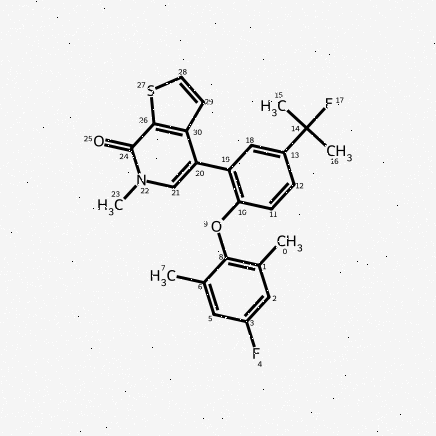 Cc1cc(F)cc(C)c1Oc1ccc(C(C)(C)F)cc1-c1cn(C)c(=O)c2sccc12